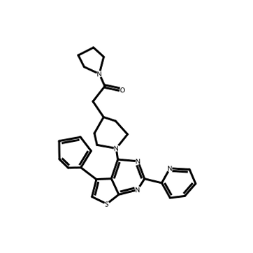 O=C(CC1CCN(c2nc(-c3ccccn3)nc3scc(-c4ccccc4)c23)CC1)N1CCCC1